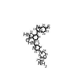 CC(C)(N)[C@@H]1CN(c2ccc(Nc3ccc(-c4cnc5cc(F)ccn45)c4c3C(=O)NC4)nc2)CCO1